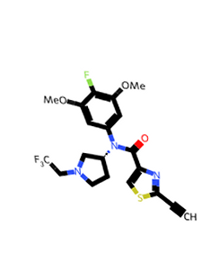 C#Cc1nc(C(=O)N(c2cc(OC)c(F)c(OC)c2)[C@@H]2CCN(CC(F)(F)F)C2)cs1